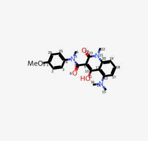 COc1ccc(N(C)C(=O)c2c(O)c3c(N(C)C)cccc3n(C)c2=O)cc1